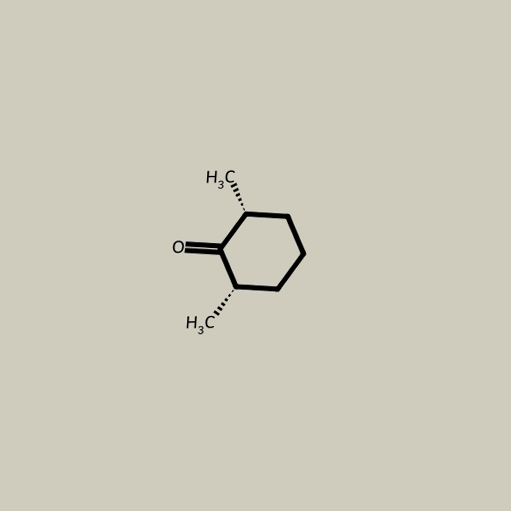 C[C@@H]1CCC[C@H](C)C1=O